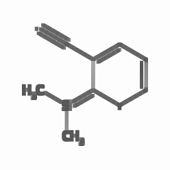 [C]#CC1=CC=C[CH]C1=[Si](C)C